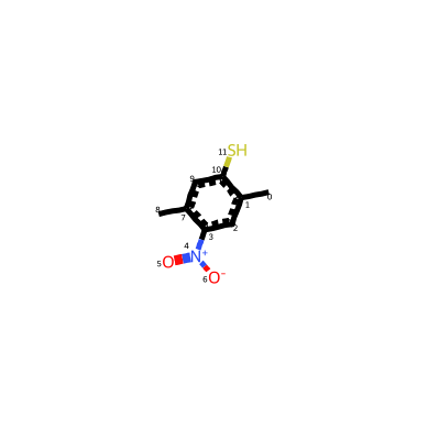 Cc1cc([N+](=O)[O-])c(C)cc1S